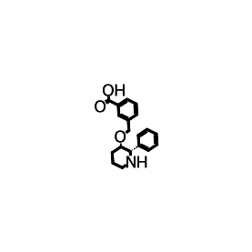 O=C(O)c1cccc(CO[C@H]2CCCN[C@H]2c2ccccc2)c1